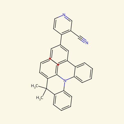 CC1(C)c2ccccc2N(c2ccccc2-c2cccc(-c3ccncc3C#N)c2)c2ccccc21